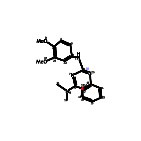 COc1ccc(N/C(N=C(N(C)C)N(C)C)=N/c2ccccc2)cc1OC